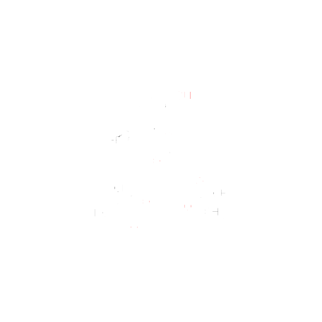 C=C(C)C(=O)OCC1CC(CC(=O)OC23CC4C[C@H](CC(O)(C4)C2)C3)OC(C)(C)O1